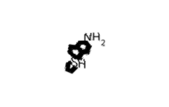 Nc1ccc2cc([SH]3C=CC=C3)ccc2c1